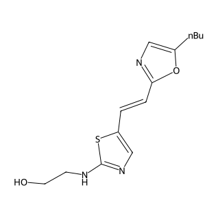 CCCCc1cnc(/C=C/c2cnc(NCCO)s2)o1